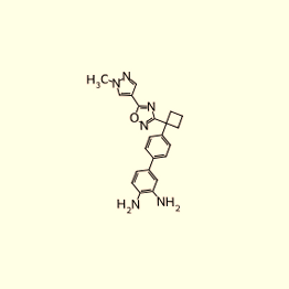 Cn1cc(-c2nc(C3(c4ccc(-c5ccc(N)c(N)c5)cc4)CCC3)no2)cn1